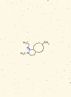 CC/N=C1\C2CCCC(C)CCCC2CCN1C